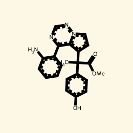 COC(=O)C(C)(c1ccc(O)cc1)c1ccn2ncnc(-c3ccccc3N)c12